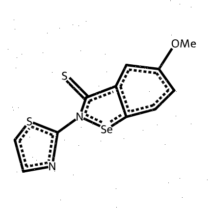 COc1ccc2[se]n(-c3nccs3)c(=S)c2c1